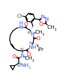 Cc1nnc(-c2ccc(Cl)cc2C[C@H]2C(=O)NCCCCC=CC[C@H](N(C)C(=O)[C@@H](N)C3CC3)C(=O)N[C@@H](CC(C)C)C(=O)N2C)o1